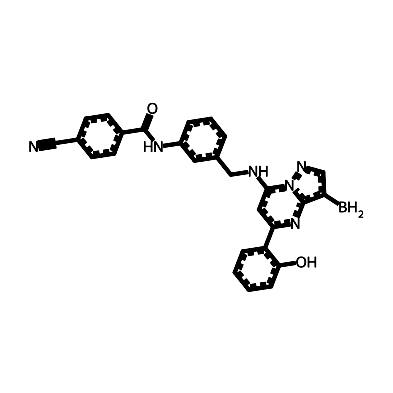 Bc1cnn2c(NCc3cccc(NC(=O)c4ccc(C#N)cc4)c3)cc(-c3ccccc3O)nc12